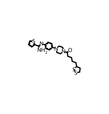 N/C(=N\c1ccc(N2CCN(C(=O)CCCCC3CCSS3)CC2)cc1)c1cccs1